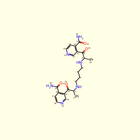 CC(C)C(NCCCCNC(C(=O)c1cnccc1C(N)=O)C(C)C)C(=O)c1cnccc1C(N)=O